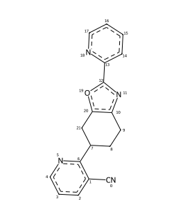 N#Cc1cccnc1C1CCc2nc(-c3ccccn3)oc2C1